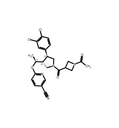 CC(=O)N1CC(C(=O)N2C[C@H]([C@H](C)Oc3ccc(C#N)cn3)[C@@H](c3ccc(Cl)c(Cl)c3)C2)C1